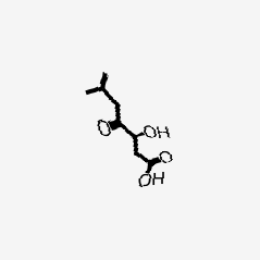 CC(C)CC(=O)[C@@H](O)CC(=O)O